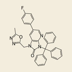 Cc1nnc(Cn2c(=O)n(C(c3ccccc3)(c3ccccc3)c3ccccc3)c3ncc(-c4ccc(F)cc4)cc32)o1